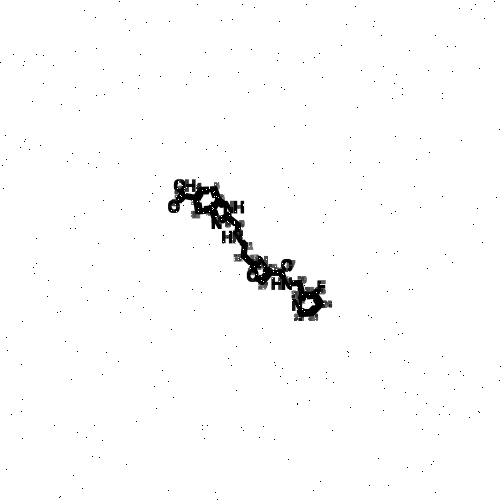 O=C(O)c1ccc2[nH]c(CNCCc3nc(C(=O)NCc4ncccc4F)co3)nc2c1